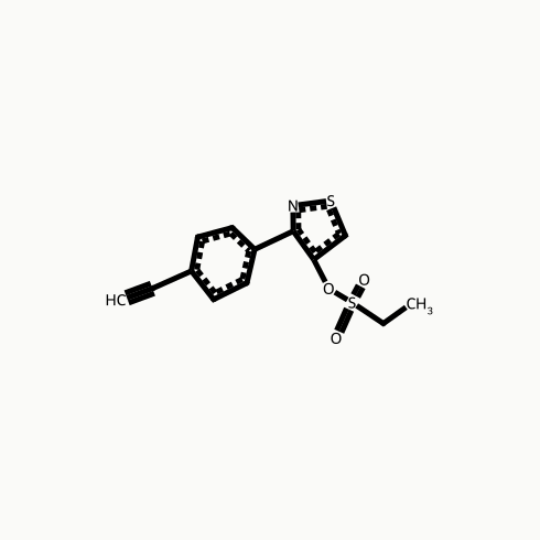 C#Cc1ccc(-c2nscc2OS(=O)(=O)CC)cc1